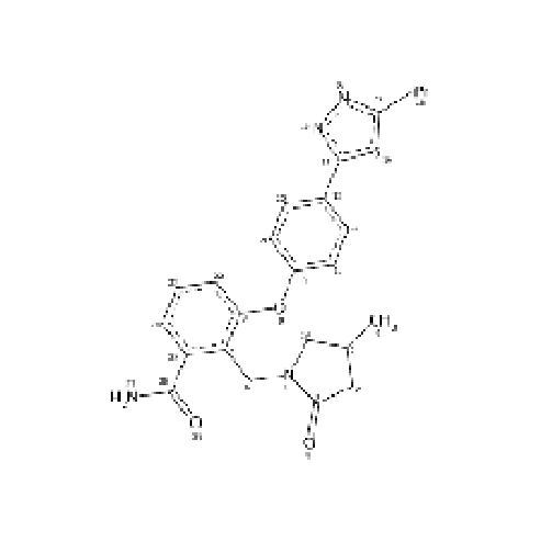 CC1CC(=O)N(Cc2c(Oc3ccc(-c4nnc(C(C)C)s4)cc3)cccc2C(N)=O)C1